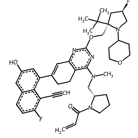 C#Cc1c(F)ccc2cc(O)cc(C3=Cc4nc(OC[C@]5(C(C)(C)C)C[C@@H](F)CN5C5CCOCC5)nc(N(C)C[C@@H]5CCCN5C(=O)C=C)c4CC3)c12